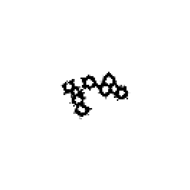 c1cc(-c2ccc3c4c(cccc24)-c2ccccc2-3)cc(-n2c3cnccc3c3cc4ccccc4cc32)c1